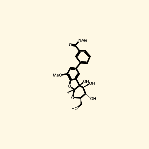 CNC(=O)c1cccc(-c2cc(OC)c3c(c2)[C@@]2(O)[C@@H](O3)O[C@H](CO)[C@@H](O)[C@@H]2O)c1